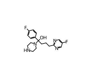 OC(CCCc1ncc(F)cn1)(c1ccc(F)cc1)N1CCNCC1